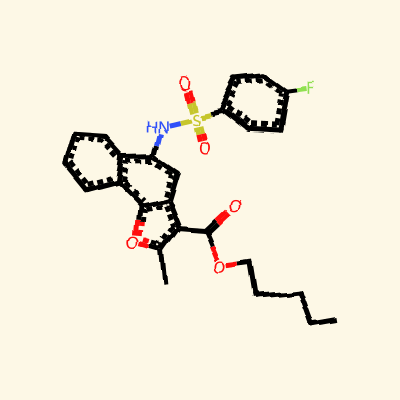 CCCCCOC(=O)c1c(C)oc2c1cc(NS(=O)(=O)c1ccc(F)cc1)c1ccccc12